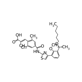 CCCCCCO[C@@H](C)c1cccc(-c2csc(NC(=O)c3cc(C)c(/C=C(\C)C(=O)O)c(Cl)c3)n2)c1OC